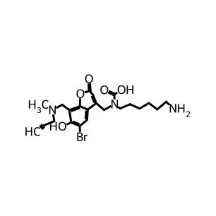 C#CCN(C)Cc1c(O)c(Br)cc2c(CN(CCCCCCN)C(=O)O)cc(=O)oc12